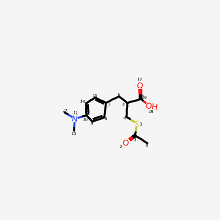 CC(=O)SCC(Cc1ccc(N(C)C)cc1)C(=O)O